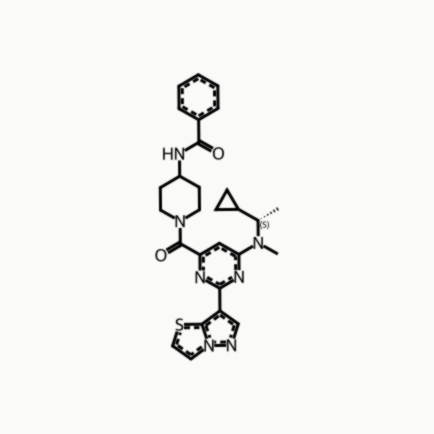 C[C@@H](C1CC1)N(C)c1cc(C(=O)N2CCC(NC(=O)c3ccccc3)CC2)nc(-c2cnn3ccsc23)n1